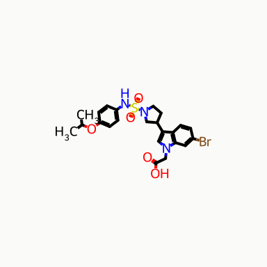 CC(C)Oc1ccc(NS(=O)(=O)N2CCC(c3cn(CC(=O)O)c4cc(Br)ccc34)C2)cc1